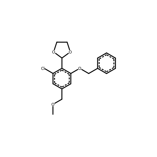 COCc1cc(Cl)c(C2OCCO2)c(OCc2ccccc2)c1